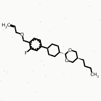 C=CCOCc1ccc(C2CCC([C@H]3OC[C@H](CCCC)CO3)CC2)cc1F